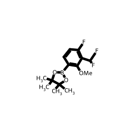 COc1c(B2OC(C)(C)C(C)(C)O2)ccc(F)c1C(F)F